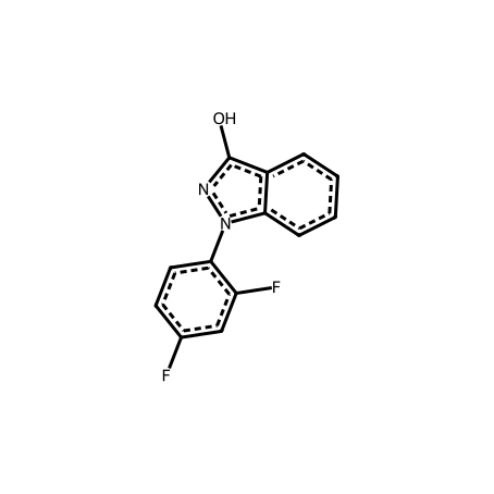 Oc1nn(-c2ccc(F)cc2F)c2ccccc12